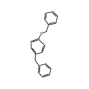 [c]1ccccc1Cc1ccc(OCc2ccccc2)cc1